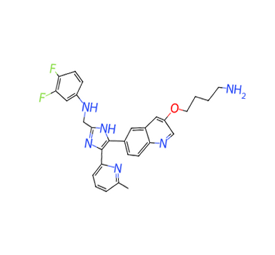 Cc1cccc(-c2nc(CNc3ccc(F)c(F)c3)[nH]c2-c2ccc3ncc(OCCCCN)cc3c2)n1